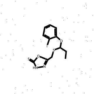 CCC(Oc1ccccc1I)SCc1n[nH]c(=S)o1